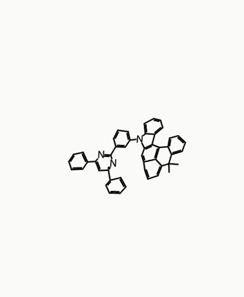 CC1(C)c2ccccc2-c2c3c1cccc3cc1c2c2ccccc2n1-c1cccc(-c2nc(-c3ccccc3)cc(-c3ccccc3)n2)c1